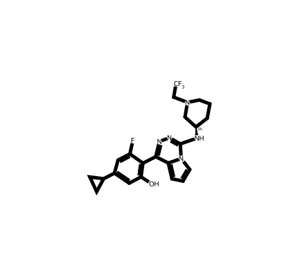 Oc1cc(C2CC2)cc(F)c1-c1nnc(N[C@@H]2CCCN(CC(F)(F)F)C2)n2cccc12